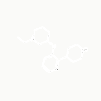 CCN1CCC[C@H](Oc2cccnc2C2CCNCC2)C1